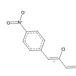 O=C/C(Cl)=C/c1ccc([N+](=O)[O-])cc1